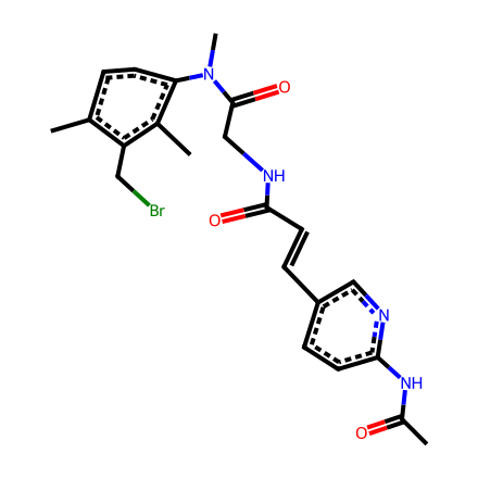 CC(=O)Nc1ccc(C=CC(=O)NCC(=O)N(C)c2ccc(C)c(CBr)c2C)cn1